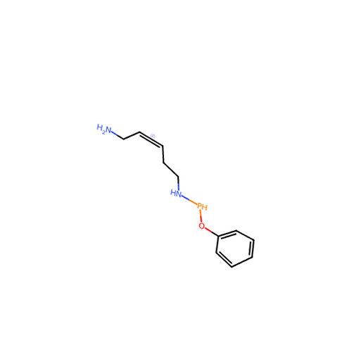 NC/C=C\CCNPOc1ccccc1